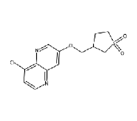 O=S1(=O)CCC(COc2cnc3c(Cl)ccnc3c2)C1